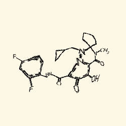 CN1C(=O)c2c(O)c(=O)c(C(=O)NCc3ccc(F)cc3F)cn2N(CC2CC2)C12CCCC2